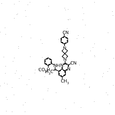 Cc1cc([C@@H](C)Nc2ccccc2C(=O)O)c2nc(N3CC4(CN(c5ccc(C#N)cc5)C4)C3)c(C#N)nc2c1